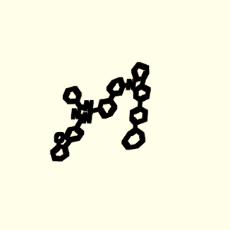 C1=CCC=CC(c2ccc(-c3ccc4c5ccccc5n(-c5cccc(-c6cccc(-c7nc(-c8ccccc8)nc(-c8ccc9c(c8)oc8ccccc89)n7)c6)c5)c4c3)cc2)=C1